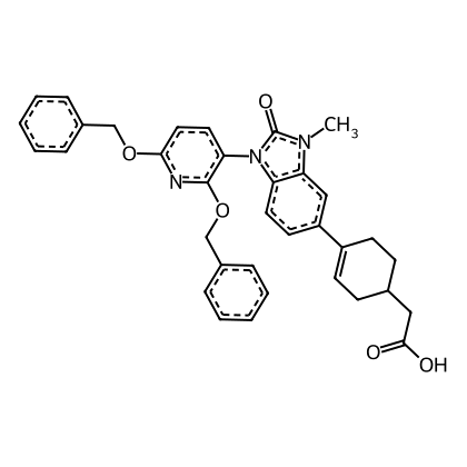 Cn1c(=O)n(-c2ccc(OCc3ccccc3)nc2OCc2ccccc2)c2ccc(C3=CCC(CC(=O)O)CC3)cc21